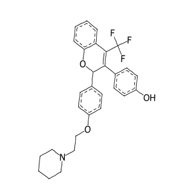 Oc1ccc(C2=C(C(F)(F)F)c3ccccc3OC2c2ccc(OCCN3CCCCC3)cc2)cc1